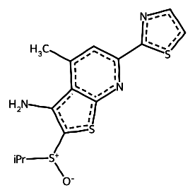 Cc1cc(-c2nccs2)nc2sc([S+]([O-])C(C)C)c(N)c12